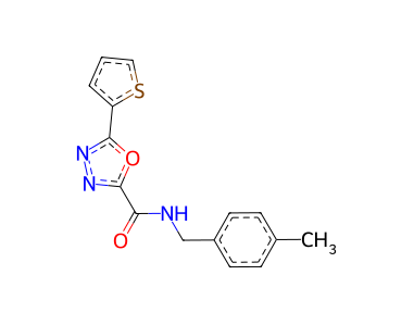 Cc1ccc(CNC(=O)c2nnc(-c3cccs3)o2)cc1